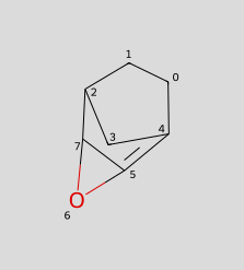 C1CC2CC1=C1OC12